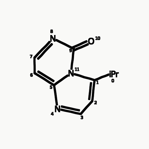 CC(C)c1ccnc2ccnc(=O)n12